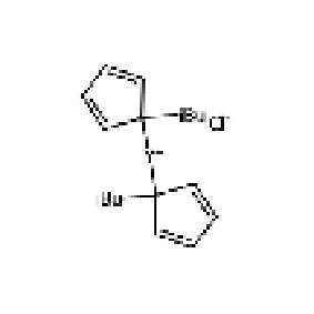 CCC(C)[C]1([Y+][C]2(C(C)CC)C=CC=C2)C=CC=C1.[Cl-]